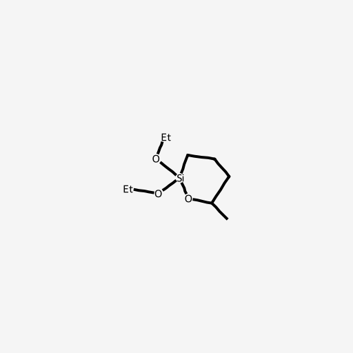 CCO[Si]1(OCC)CCCC(C)O1